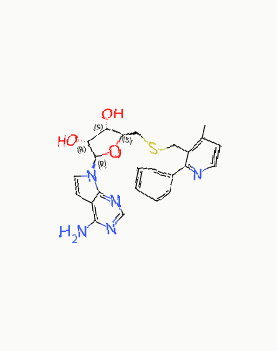 Cc1ccnc(-c2ccccc2)c1CSC[C@H]1O[C@@H](n2ccc3c(N)ncnc32)[C@H](O)[C@@H]1O